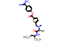 CC(C)[C@@H](C(=O)N[C@H](CC(=O)O)C(=O)O)N(C)Cc1ccc(C(=O)Oc2ccc(C(=N)N)cc2)s1